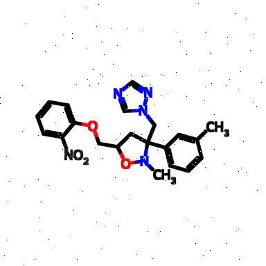 Cc1cccc(C2(Cn3cncn3)CC(COc3ccccc3[N+](=O)[O-])ON2C)c1